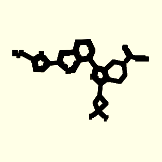 CNC(=O)N1CCn2c(C3CC(F)(F)C3)nc(-c3cccc4cc(-c5ccn(C)n5)ncc34)c2C1